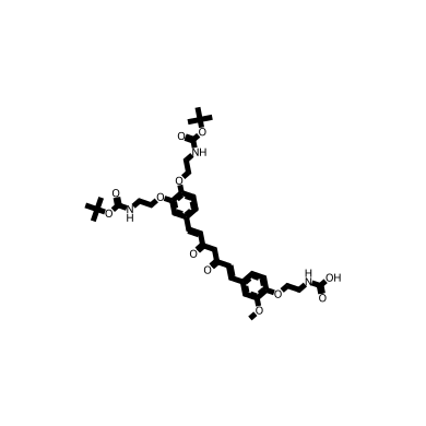 COc1cc(C=CC(=O)CC(=O)C=Cc2ccc(OCCNC(=O)OC(C)(C)C)c(OCCNC(=O)OC(C)(C)C)c2)ccc1OCCNC(=O)O